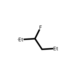 C[CH]C(F)CCC